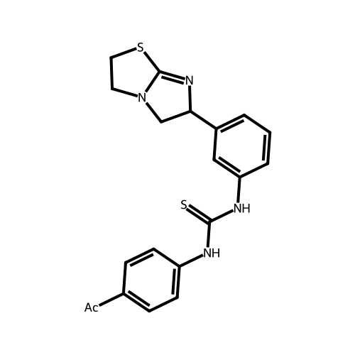 CC(=O)c1ccc(NC(=S)Nc2cccc(C3CN4CCSC4=N3)c2)cc1